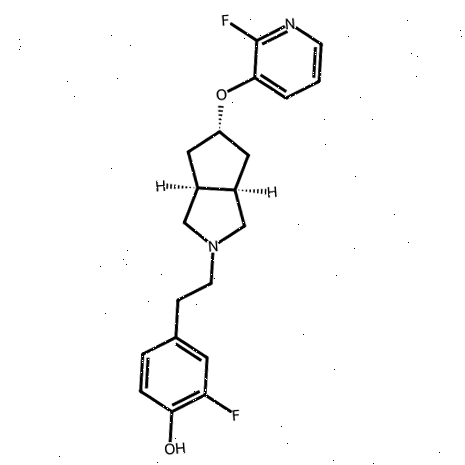 Oc1ccc(CCN2C[C@H]3C[C@H](Oc4cccnc4F)C[C@H]3C2)cc1F